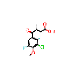 COc1c(F)cc(C(=O)C(C)CC(=O)O)c(F)c1Cl